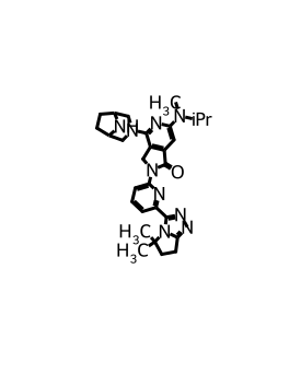 CC(C)N(C)c1cc2c(c(N3CC4CCC(C3)N4)n1)CN(c1cccc(-c3nnc4n3C(C)(C)CC4)n1)C2=O